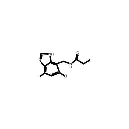 CCC(=O)NCc1c(Cl)cc(C)c2nc[nH]c12